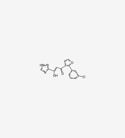 O=C(C=C(O)c1nc[nH]n1)c1ccoc1-c1cccc(Cl)c1